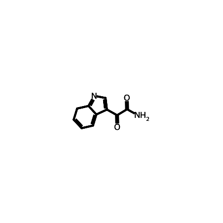 NC(=O)C(=O)C1=CN=C2CC=CC=C12